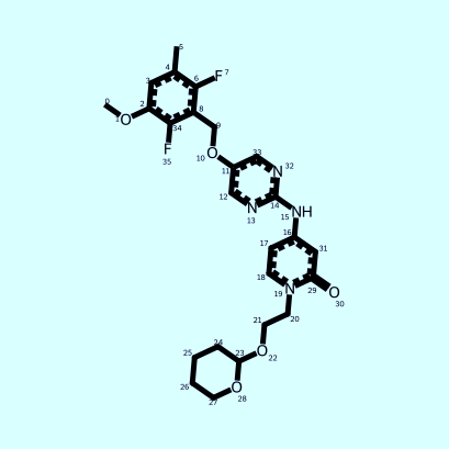 COc1cc(C)c(F)c(COc2cnc(Nc3ccn(CCOC4CCCCO4)c(=O)c3)nc2)c1F